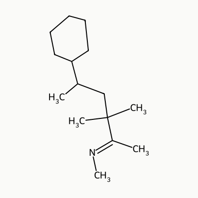 C/N=C(\C)C(C)(C)CC(C)C1CCCCC1